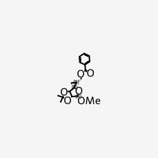 CO[C@@H]1O[C@@]2(C[C@@H]2COC(=O)c2ccccc2)C2OC(C)(C)OC21